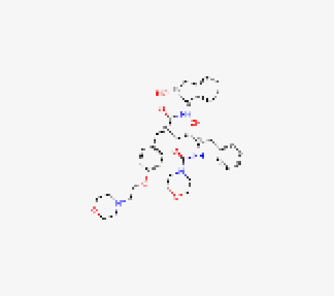 O=C(N[C@H]1c2ccccc2C[C@H]1O)[C@H](Cc1ccc(OCCN2CCOCC2)cc1)C[C@H](O)[C@H](Cc1ccccc1)NC(=O)N1CCOCC1